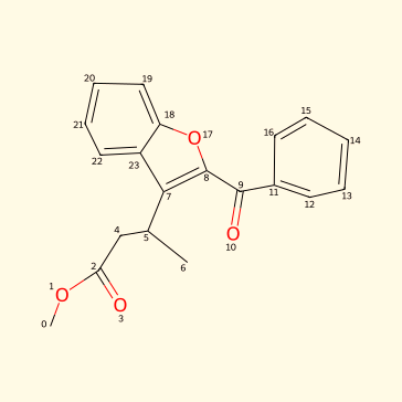 COC(=O)CC(C)c1c(C(=O)c2ccccc2)oc2ccccc12